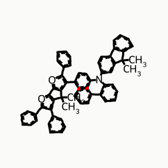 CC1(C)c2ccccc2-c2ccc(N(c3ccc(-c4c(-c5ccccc5)oc5c4C(C)(C)c4c-5oc(-c5ccccc5)c4-c4ccccc4)cc3)c3ccccc3-c3ccccc3)cc21